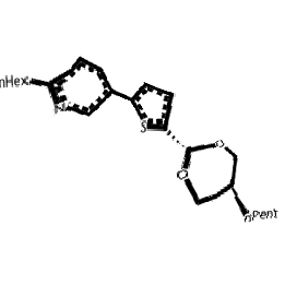 CCCCCCc1ccc(-c2ccc([C@H]3OC[C@H](CCCCC)CO3)s2)cn1